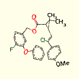 COc1ccc(C(Cl)=CC2C(C(=O)OCc3ccc(F)c(Oc4ccccc4)c3)C2(C)C)cc1